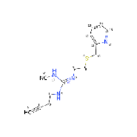 C#CCCN/C(=N/CCSCc1ccccn1)NC#N